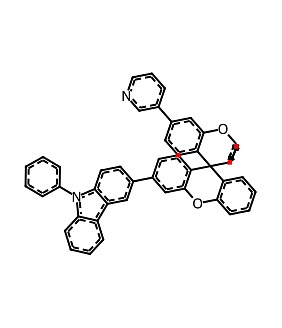 c1ccc(-n2c3ccccc3c3cc(-c4ccc5c(c4)Oc4ccccc4C54c5ccccc5Oc5cc(-c6cccnc6)ccc54)ccc32)cc1